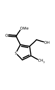 COC(=O)c1scc(C)c1CO